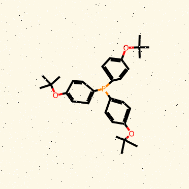 CC(C)(C)Oc1ccc(P(c2ccc(OC(C)(C)C)cc2)c2ccc(OC(C)(C)C)cc2)cc1